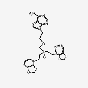 Nc1ncnc2c1ncn2CCOCP(=O)(CCc1cccc2c1OCO2)CCc1cccc2c1OCO2